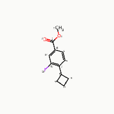 COC(=O)c1ccc(C2CCC2)c(I)c1